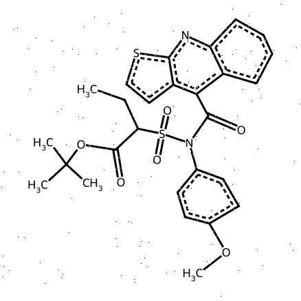 CCC(C(=O)OC(C)(C)C)S(=O)(=O)N(C(=O)c1c2ccccc2nc2sccc12)c1ccc(OC)cc1